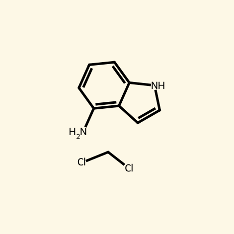 ClCCl.Nc1cccc2[nH]ccc12